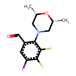 C[C@@H]1CN(c2c(C=O)cc(I)c(F)c2F)C[C@H](C)O1